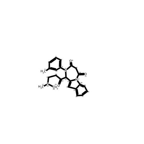 Cc1cccc(N2C(=O)CC(=O)n3c(cc4ccccc43)C2C(=O)CCN(C)C)c1